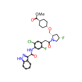 COC(=O)[C@H]1CC[C@H](OC[C@@H]2C[C@H](F)CN2C(=O)Cc2cc(Cl)c(NC(=O)c3n[nH]c4ccccc34)cc2F)CC1